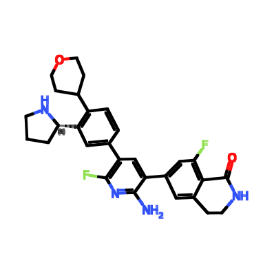 Nc1nc(F)c(-c2ccc(C3CCOCC3)c([C@@H]3CCCN3)c2)cc1-c1cc(F)c2c(c1)CCNC2=O